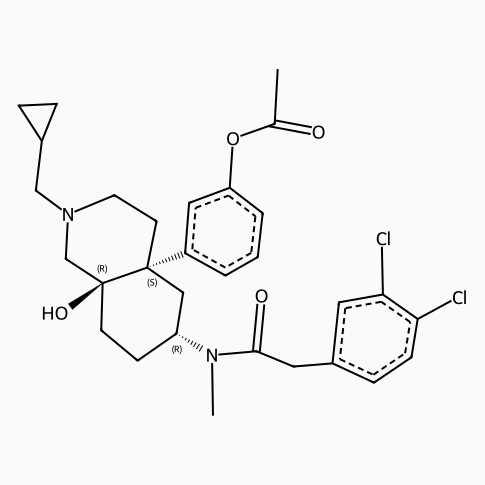 CC(=O)Oc1cccc([C@@]23CCN(CC4CC4)C[C@@]2(O)CC[C@@H](N(C)C(=O)Cc2ccc(Cl)c(Cl)c2)C3)c1